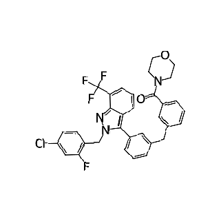 O=C(c1cccc(Cc2cccc(-c3c4cccc(C(F)(F)F)c4nn3Cc3ccc(Cl)cc3F)c2)c1)N1CCOCC1